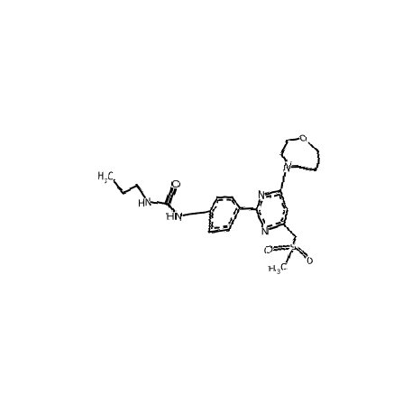 CCCNC(=O)Nc1ccc(-c2nc(CS(C)(=O)=O)cc(N3CCOCC3)n2)cc1